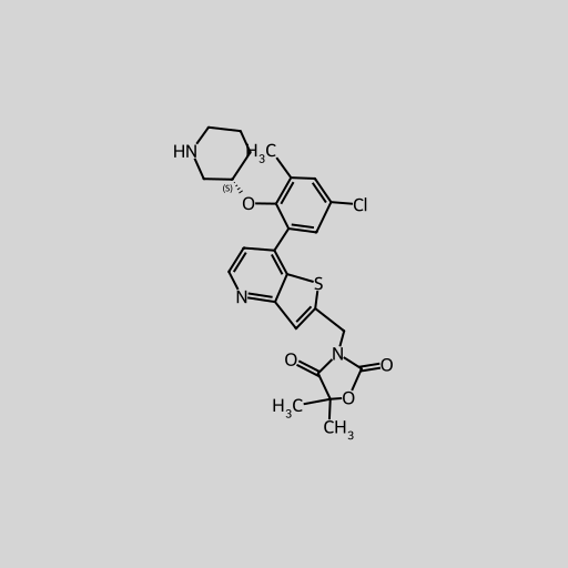 Cc1cc(Cl)cc(-c2ccnc3cc(CN4C(=O)OC(C)(C)C4=O)sc23)c1O[C@H]1CCCNC1